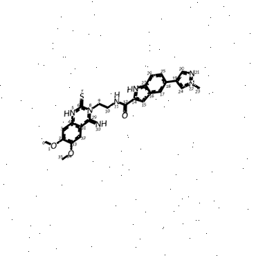 COc1cc2[nH]c(=S)n(CCNC(=O)c3cc4cc(-c5cnn(C)c5)ccc4[nH]3)c(=N)c2cc1OC